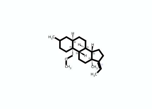 C/C=C1/CC[C@H]2[C@@H]3CC[C@@H]4CC(C)CC[C@]4(COC)[C@H]3CC[C@]12C